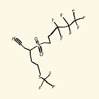 N#CC(CCSC(F)(F)F)S(=O)(=O)CCC(F)(F)C(F)(F)C(F)(F)F